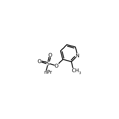 CCCS(=O)(=O)Oc1cccnc1C